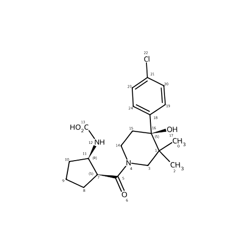 CC1(C)CN(C(=O)[C@H]2CCC[C@H]2NC(=O)O)CC[C@]1(O)c1ccc(Cl)cc1